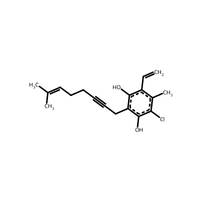 C=Cc1c(C)c(Cl)c(O)c(CC#CCCC=C(C)C)c1O